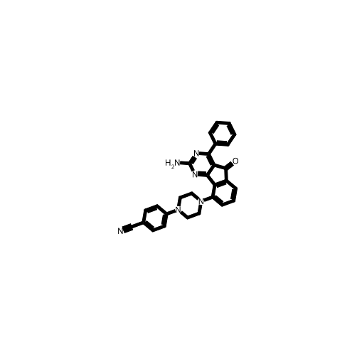 N#Cc1ccc(N2CCN(c3cccc4c3-c3nc(N)nc(-c5ccccc5)c3C4=O)CC2)cc1